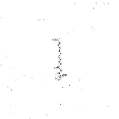 CCCCCCCC/C=C/CCCCCCCC(=O)OCC(C)O